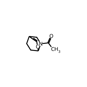 CC(=O)N1CC2C=CCC1CC2